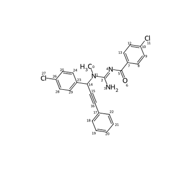 CN(/C(N)=N/C(=O)c1ccc(Cl)cc1)C(C#Cc1ccccc1)c1ccc(Cl)cc1